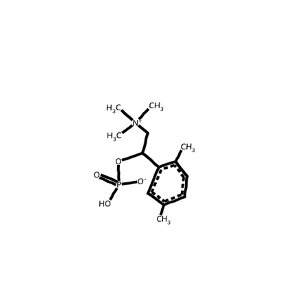 Cc1ccc(C)c(C(C[N+](C)(C)C)OP(=O)([O-])O)c1